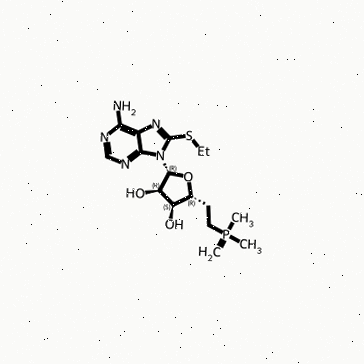 C=P(C)(C)CC[C@H]1O[C@@H](n2c(SCC)nc3c(N)ncnc32)[C@H](O)[C@@H]1O